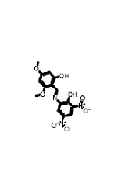 COc1cc(O)c(C=Nc2cc([N+](=O)[O-])cc([N+](=O)[O-])c2O)c(OC)c1